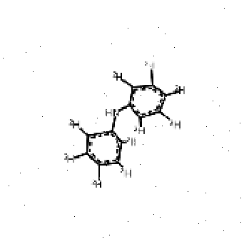 [2H]c1c([2H])c([2H])c(Nc2c([2H])c([2H])c([2H])c([2H])c2[2H])c([2H])c1[2H]